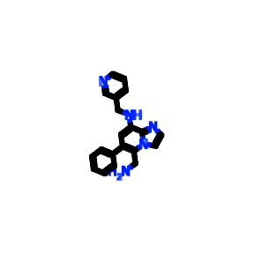 NCc1c(-c2ccccc2)cc(NCc2cccnc2)c2nccn12